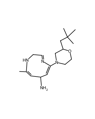 CC1=CC(N)/C=C(N2CCOC(CC(C)(C)C)C2)\N=C\CN1